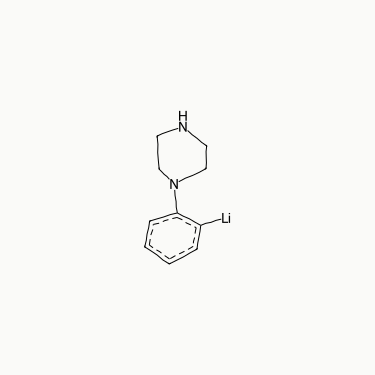 [Li][c]1ccccc1N1CCNCC1